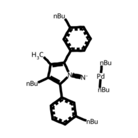 CCCCC1=C(c2cccc(CCCC)c2)[N+](=[N-])C(c2cccc(CCCC)c2)=C1C.CCC[CH2][Pd][CH2]CCC